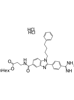 CCCCCCOC(=O)CCNC(=O)c1ccc2c(c1)nc(-c1ccc(C(=N)N)cc1)n2CCCCc1ccccc1.Cl.Cl